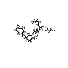 CCOC(=O)C(C=CC(C)(C)C)NCc1ccnc(Oc2ccccc2)c1